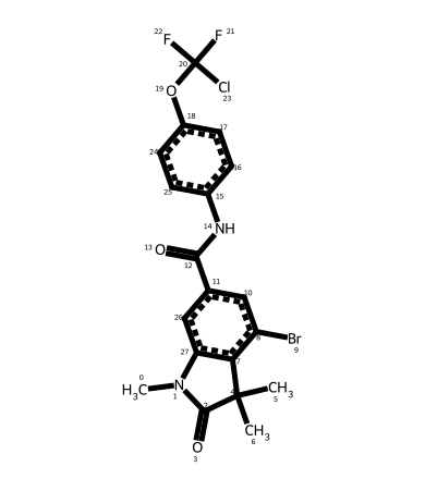 CN1C(=O)C(C)(C)c2c(Br)cc(C(=O)Nc3ccc(OC(F)(F)Cl)cc3)cc21